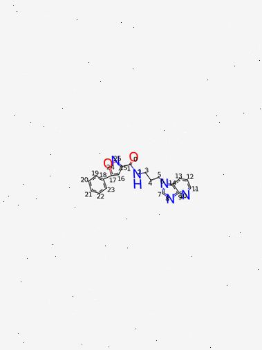 O=C(NCCCn1cnc2ncccc21)c1cc(-c2ccccc2)on1